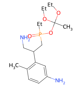 CCOC(C)(OCC)OP(=O)(CC)CC(CN)c1cc(N)ccc1C